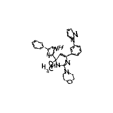 COC1(c2nc(-c3ccccc3)c[nH]2)C=C(c2cccc(-n3cccn3)c2)N=C(N2CCOCC2)N1